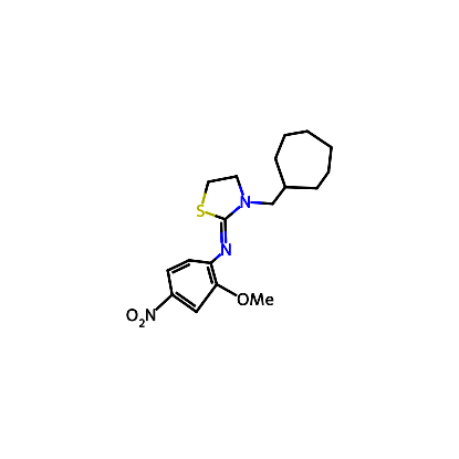 COc1cc([N+](=O)[O-])ccc1/N=C1\SCCN1CC1CCCCCC1